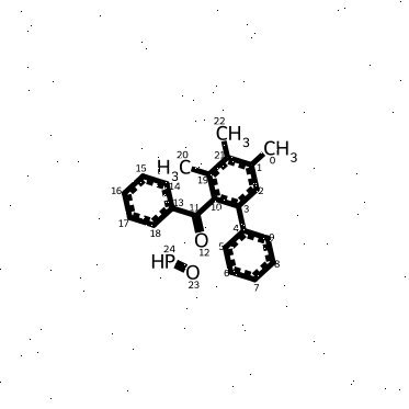 Cc1cc(-c2ccccc2)c(C(=O)c2ccccc2)c(C)c1C.O=P